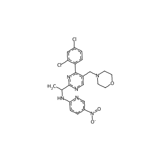 [CH2]C(Nc1ccc([N+](=O)[O-])cn1)c1ncc(CN2CCOCC2)c(-c2ccc(Cl)cc2Cl)n1